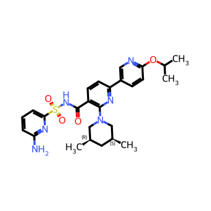 CC(C)Oc1ccc(-c2ccc(C(=O)NS(=O)(=O)c3cccc(N)n3)c(N3C[C@H](C)C[C@H](C)C3)n2)cn1